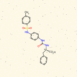 Cc1ccc(S(=O)(=O)Nc2ccc(NC(=O)N[C@H](Cc3ccccc3)C(=O)O)cc2)cc1